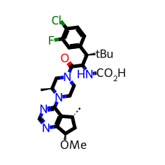 CO[C@@H]1C[C@@H](C)c2c1ncnc2N1CCN(C(=O)C(NC(=O)O)[C@@H](c2ccc(Cl)c(F)c2)C(C)(C)C)C[C@@H]1C